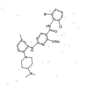 COc1nc(Nc2cc(C)ccc2N2CCC(N(C)C)CC2)ncc1C(=O)Nc1c(Cl)cccc1Br